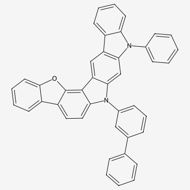 c1ccc(-c2cccc(-n3c4cc5c(cc4c4c6oc7ccccc7c6ccc43)c3ccccc3n5-c3ccccc3)c2)cc1